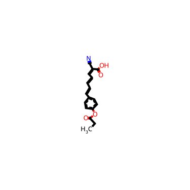 CCC(=O)Oc1ccc(C=CC=CC=C(C#N)C(=O)O)cc1